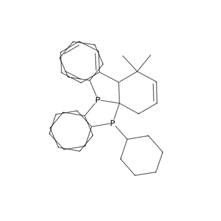 CC1(C)C=CCC(P(C2CCCCC2)C2CCCCC2)(P(C2CCCCC2)C2CCCCC2)C1c1ccccc1